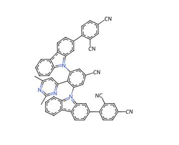 Cc1cc(-c2c(-n3c4ccccc4c4ccc(-c5ccc(C#N)cc5C#N)cc43)cc(C#N)cc2-n2c3ccccc3c3ccc(-c4ccc(C#N)cc4C#N)cc32)nc(C)n1